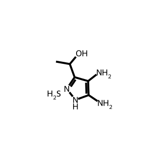 CC(O)c1n[nH]c(N)c1N.S